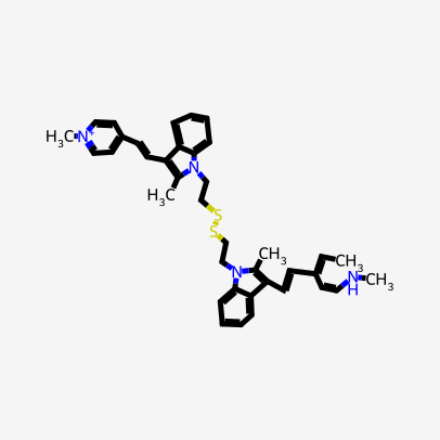 C/C=C(\C=C/NC)/C=C/c1c(C)n(CCSSCCn2c(C)c(/C=C/c3cc[n+](C)cc3)c3ccccc32)c2ccccc12